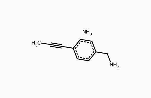 CC#Cc1ccc(CN)cc1.N